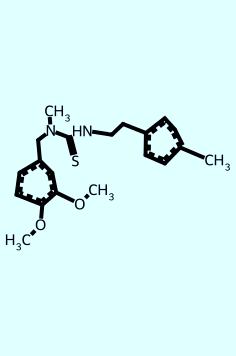 COc1ccc(CN(C)C(=S)NCCc2ccc(C)cc2)cc1OC